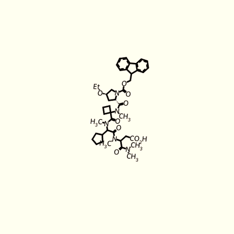 CCO[C@@H]1C[C@@H](C(=O)N(C)C2(C(=O)N(C)C(C(=O)N(C)C(CC(=O)O)C(=O)N(C)C)C3CCCC3)CCC2)N(C(=O)OCC2c3ccccc3-c3ccccc32)C1